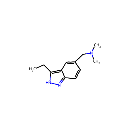 CCc1[nH]nc2ccc(CN(C)C)cc12